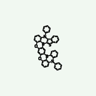 c1ccc(N2c3ccccc3B3c4cc5c(cc4Oc4cccc2c43)Oc2cccc3c2B5c2sc4ccccc4c2N3c2ccccc2)cc1